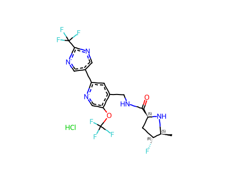 C[C@@H]1N[C@H](C(=O)NCc2cc(-c3cnc(C(F)(F)F)nc3)ncc2OC(F)(F)F)C[C@H]1F.Cl